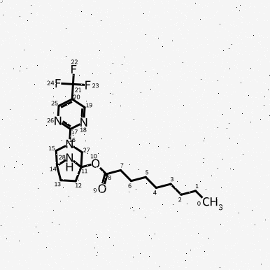 CCCCCCCCC(=O)OC12CCC(CN(c3ncc(C(F)(F)F)cn3)C1)N2